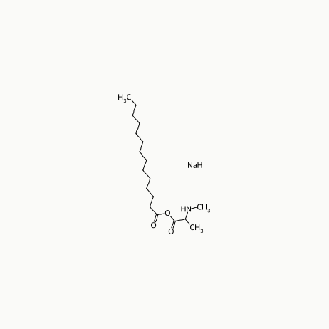 CCCCCCCCCCCCCC(=O)OC(=O)C(C)NC.[NaH]